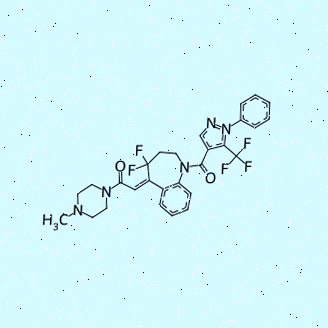 CN1CCN(C(=O)C=C2c3ccccc3N(C(=O)c3cnn(-c4ccccc4)c3C(F)(F)F)CCC2(F)F)CC1